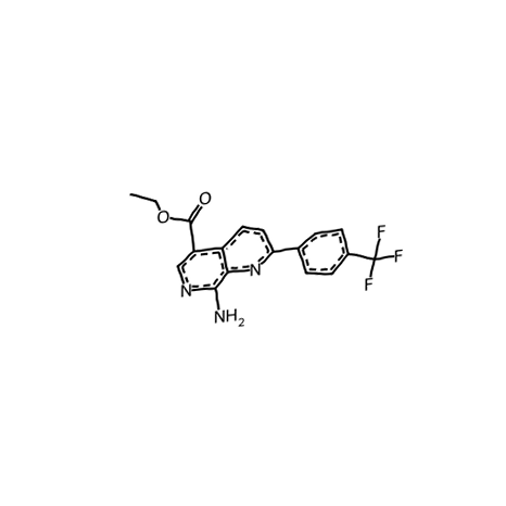 CCOC(=O)c1cnc(N)c2nc(-c3ccc(C(F)(F)F)cc3)ccc12